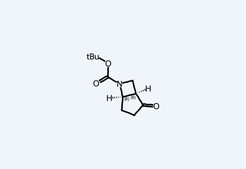 CC(C)(C)OC(=O)N1C[C@H]2C(=O)CC[C@H]21